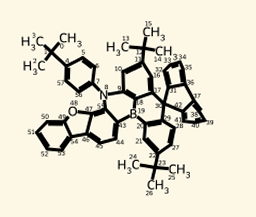 CC(C)(C)c1ccc(N2c3cc(C(C)(C)C)cc4c3B(c3cc(C(C)(C)C)ccc3C43c4ccccc4-c4ccccc43)c3ccc4c(oc5ccccc54)c32)cc1